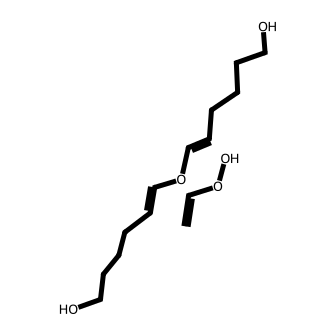 C=COO.OCCCCC=COC=CCCCCO